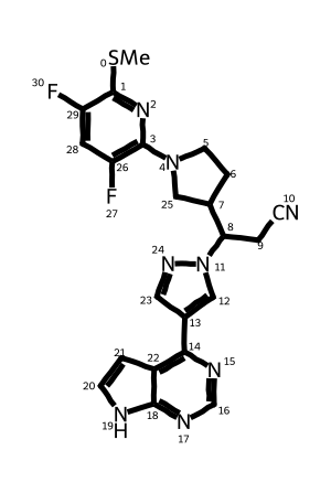 CSc1nc(N2CCC(C(CC#N)n3cc(-c4ncnc5[nH]ccc45)cn3)C2)c(F)cc1F